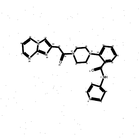 O=C(Nc1ccncc1)c1ccccc1N1CCN(C(=O)Cc2cn3cccnc3n2)CC1